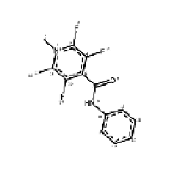 C[n+]1c(F)c(F)c(C(=O)Nc2ccccc2)c(F)c1F